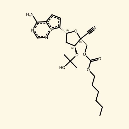 CCCCCCOC(=O)OC[C@@]1(C#N)O[C@@H](c2ccc3c(N)ncnn23)C[C@@H]1OC(C)(C)O